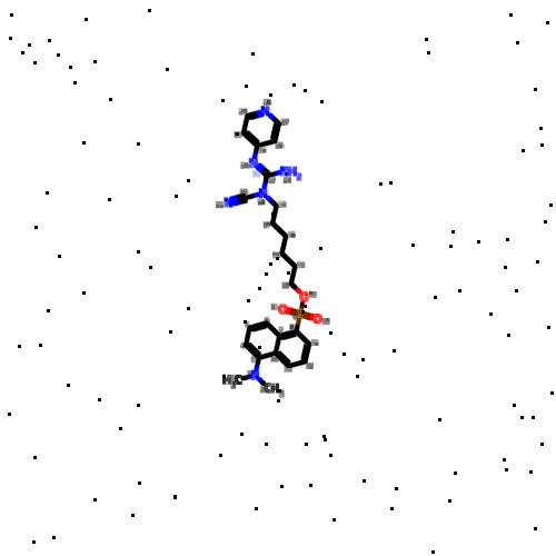 CN(C)c1cccc2c(S(=O)(=O)OCCCCCCN(C#N)/C(N)=N/c3ccncc3)cccc12